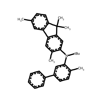 Cc1ccc2c(c1)-c1cc(C)c(N(c3cc(-c4ccccc4)ccc3C)C(C)(C)C)cc1C2(C)C